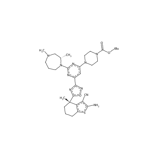 C[C@H]1CN(C)CCCN1c1nc(-c2noc([C@@]3(C)CCCc4sc(N)c(C#N)c43)n2)cc(N2CCN(C(=O)OC(C)(C)C)CC2)n1